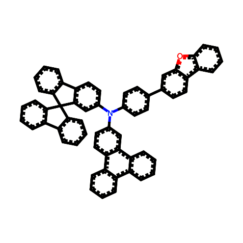 c1ccc2c(c1)-c1ccccc1C21c2ccccc2-c2ccc(N(c3ccc(-c4ccc5c(c4)oc4ccccc45)cc3)c3ccc4c5ccccc5c5ccccc5c4c3)cc21